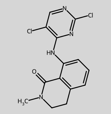 CN1CCc2cccc(Nc3nc(Cl)ncc3Cl)c2C1=O